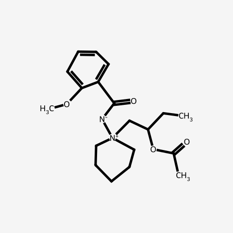 CCC(C[N+]1([N-]C(=O)c2ccccc2OC)CCCCC1)OC(C)=O